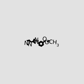 CCOC(=O)c1cccc(-n2cc(-c3ccncn3)cn2)c1